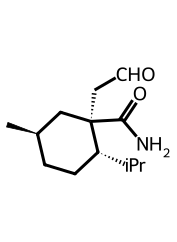 CC(C)[C@@H]1CC[C@@H](C)C[C@@]1(CC=O)C(N)=O